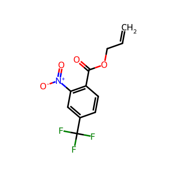 C=CCOC(=O)c1ccc(C(F)(F)F)cc1[N+](=O)[O-]